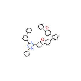 c1ccc(-c2cccc(-c3nc(-c4ccccc4)nc(-c4ccc5c(c4)oc4cc(-c6ccccc6-c6ccc7c(c6)oc6ccccc67)ccc45)n3)c2)cc1